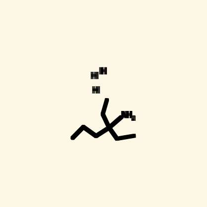 CCCC(N)(CC)CC.I.I.I